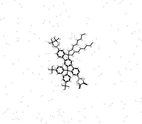 C=C1OB(c2ccc3c(c2)C(c2ccc(C(C)(C)C)cc2)(c2ccc(C(C)(C)C)cc2)c2cc4c(cc2-3)C(CCCCCCCC)(CCCCCCCC)c2cc(B3OC(C)(C)C(C)(C)O3)ccc2-4)OC1=C